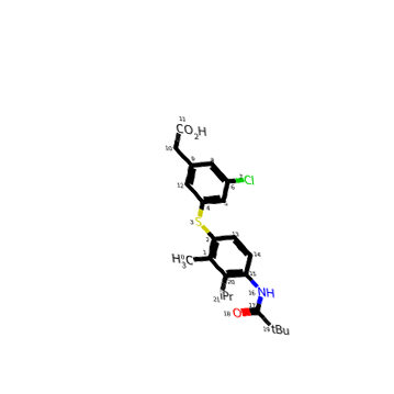 Cc1c(Sc2cc(Cl)cc(CC(=O)O)c2)ccc(NC(=O)C(C)(C)C)c1C(C)C